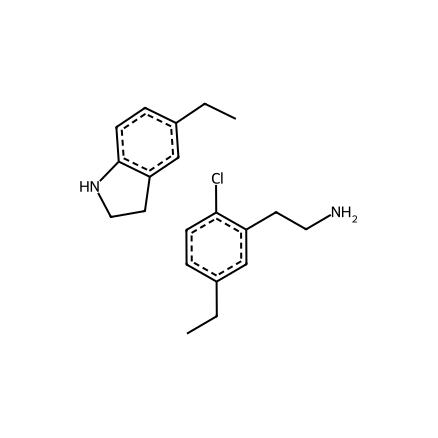 CCc1ccc(Cl)c(CCN)c1.CCc1ccc2c(c1)CCN2